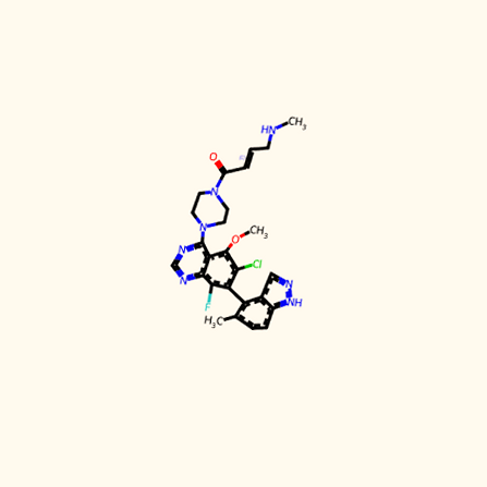 CNC/C=C/C(=O)N1CCN(c2ncnc3c(F)c(-c4c(C)ccc5[nH]ncc45)c(Cl)c(OC)c23)CC1